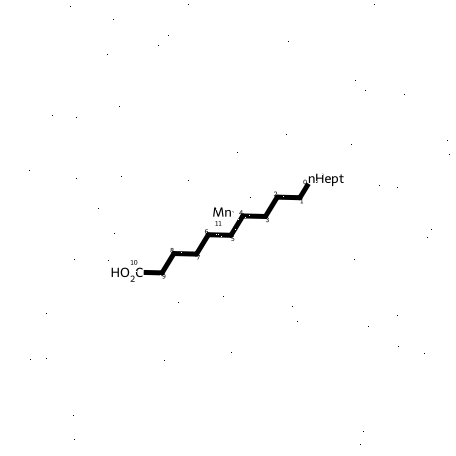 CCCCCCCCCCCCCCCCC(=O)O.[Mn]